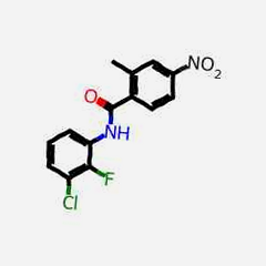 Cc1cc([N+](=O)[O-])ccc1C(=O)Nc1cccc(Cl)c1F